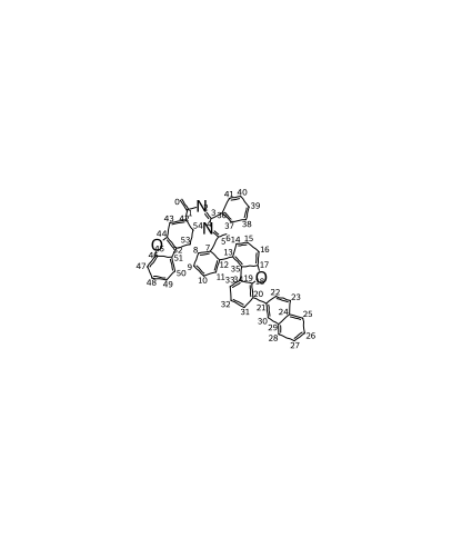 C=C(/N=C(\N=C(/C)c1ccccc1-c1cccc2oc3c(-c4ccc5ccccc5c4)cccc3c12)c1ccccc1)C1=Cc2oc3ccccc3c2CC1